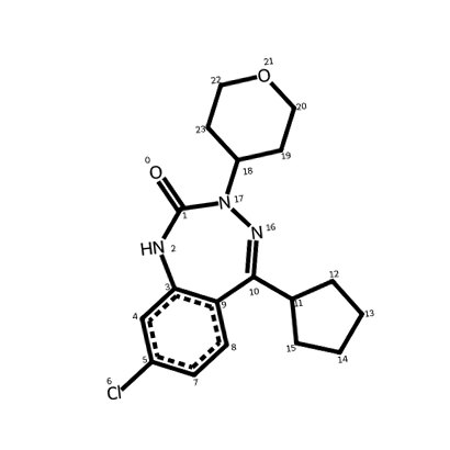 O=C1Nc2cc(Cl)ccc2C(C2CCCC2)=NN1C1CCOCC1